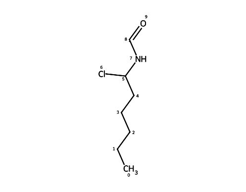 CCCCCC(Cl)N[C]=O